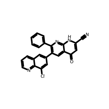 N#Cc1cc(=O)c2cc(-c3cc(Cl)c4ncccc4c3)c(-c3ccccc3)nc2[nH]1